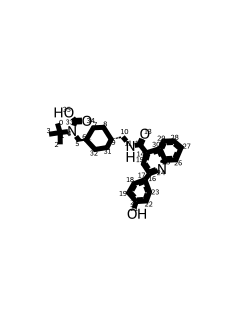 CC(C)(C)N(C[C@H]1CC[C@H](CNC(=O)c2cc(-c3ccc(O)cc3)nc3ccccc23)CC1)C(=O)O